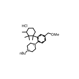 CCCCN1CCN(c2ccc(COC)cc2C2(C)CCCC(C)C2(C)C)CC1.Cl